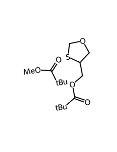 CC(C)(C)C(=O)OCC1COCS1.COC(=O)C(C)(C)C